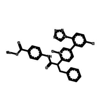 CC(C)(C)OC(=O)c1ccc(NC(=O)C(Cc2ccccc2)c2ccc(-c3cc(Cl)ccc3-n3cnnn3)c[n+]2[O-])cc1